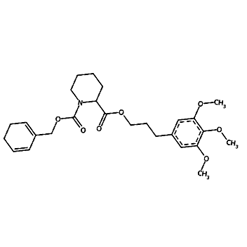 COc1cc(CCCOC(=O)C2CCCCN2C(=O)OCC2=CCCC=C2)cc(OC)c1OC